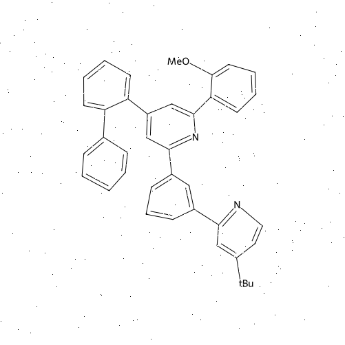 COc1ccccc1-c1cc(-c2ccccc2-c2ccccc2)cc(-c2cccc(-c3cc(C(C)(C)C)ccn3)c2)n1